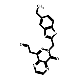 CCc1ccc2sc(Cn3nc(CC=O)c4nccnc4c3=O)nc2c1